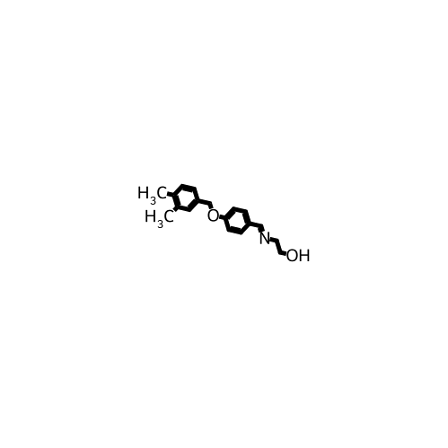 Cc1ccc(COc2ccc(/C=N/CCO)cc2)cc1C